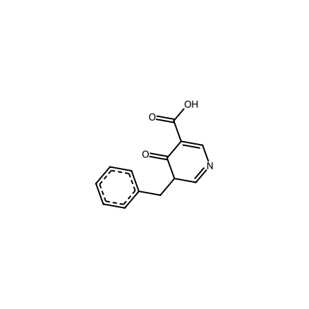 O=C(O)C1=CN=CC(Cc2ccccc2)C1=O